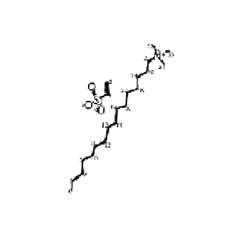 C=CS(=O)(=O)[O-].CCCCCCCCCCCCCCCC[N+](C)(C)C